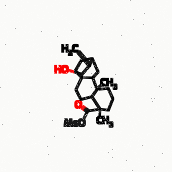 C=C1C2CCC3(CCC4C(C)(C(=O)OC)CCCC4(C)C3C2)C1O